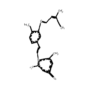 CC(C)=CCOc1cc(/C=C/n2c(C)cc(=O)cc2C)ccc1C